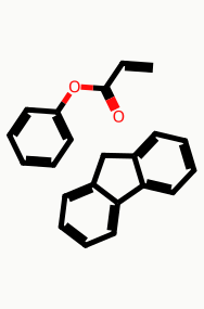 C=CC(=O)Oc1ccccc1.c1ccc2c(c1)Cc1ccccc1-2